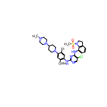 CCc1cc(Nc2ncc(Cl)c(Nc3cccc4c3N(S(C)(=O)=O)CC4)n2)c(OC)cc1N1CCC(N2CCN(C)CC2)CC1